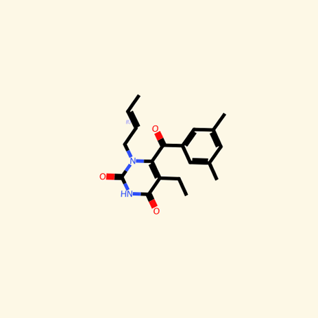 C/C=C/Cn1c(C(=O)c2cc(C)cc(C)c2)c(CC)c(=O)[nH]c1=O